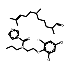 CC(C)=CCCC(C)CCCC(C)C=O.CCCN(CCOc1c(Cl)cc(Cl)cc1Cl)C(=O)n1ccnc1